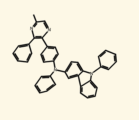 Cc1cnc(-c2ccc(N(c3ccccc3)c3ccc4c(c3)c3ccccc3n4-c3ccccc3)cc2)c(-c2ccccc2)n1